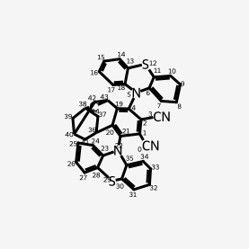 N#Cc1c(C#N)c(N2c3ccccc3Sc3ccccc32)c2c(c1N1c3ccccc3Sc3ccccc31)C1CC3CC(C1)CC2C3